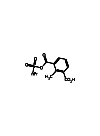 CCCS(=O)(=O)OC(=O)c1cccc(C(=O)O)c1C